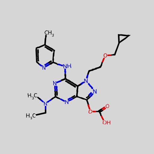 CCN(C)c1nc(Nc2cc(C)ccn2)c2c(n1)c(OC(=O)O)nn2CCOCC1CC1